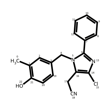 Cc1cc(Cn2c(-c3ccccc3)nc(Cl)c2CC#N)ccc1O